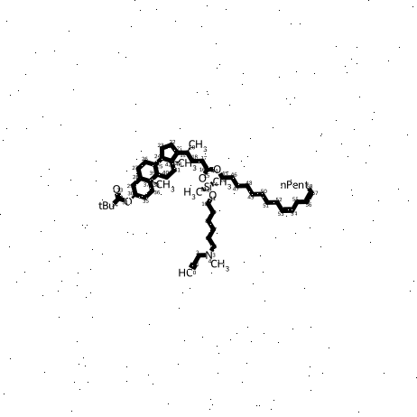 C#CCN(C)CCCCCCO[Si](C)(C)OC(CC[C@@H](C)C1CCC2C3CCC4C[C@H](OC(=O)C(C)(C)C)CC[C@]4(C)C3CC[C@@]21C)OCCCCCCCC/C=C\C/C=C\CCCCC